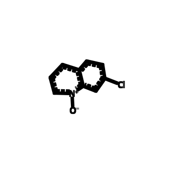 [O-][n+]1cccc2ccc(Cl)cc21